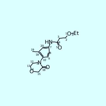 CCOCCC(=O)Nc1ccc(N2CCOCC2=O)c(C)c1